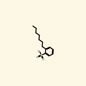 CCCCCCCc1ccccc1S(=O)(=O)Cl